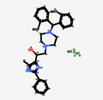 COc1ccccc1C(c1ccccc1OC)N1CCN(CC(O)c2nc(-c3ccccc3)[nH]c2C)CC1.Cl.Cl.Cl